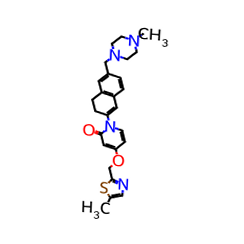 Cc1cnc(COc2ccn(C3=Cc4ccc(CN5CCN(C)CC5)cc4CC3)c(=O)c2)s1